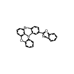 Brc1ccc(-c2nc3ccccc3o2)cc1N1c2ccccc2Oc2ccccc21